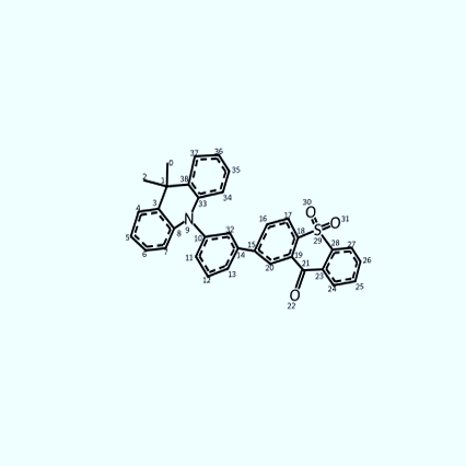 CC1(C)c2ccccc2N(c2cccc(-c3ccc4c(c3)C(=O)c3ccccc3S4(=O)=O)c2)c2ccccc21